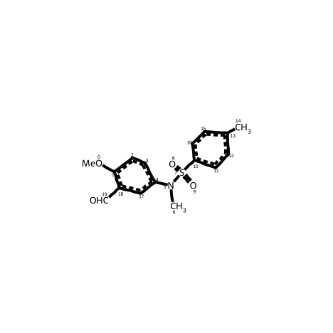 COc1ccc(N(C)S(=O)(=O)c2ccc(C)cc2)cc1C=O